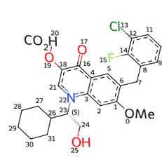 COc1cc2c(cc1Cc1cccc(Cl)c1F)c(=O)c(OC(=O)O)cn2[C@H](CO)C1CCCCC1